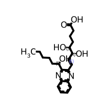 CCCCC[C@@H](O)c1nc2ccccc2nc1/C=C/[C@@H](O)[C@@H](O)CCCC(=O)O